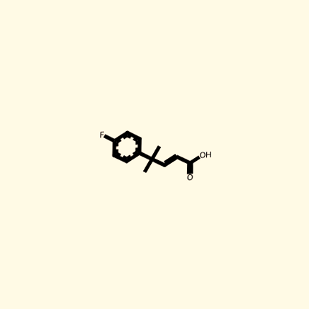 CC(C)(C=CC(=O)O)c1ccc(F)cc1